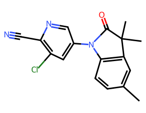 Cc1ccc2c(c1)C(C)(C)C(=O)N2c1cnc(C#N)c(Cl)c1